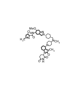 COc1cc2nn([C@H]3CC[C@H](CN(C)C4CCN(c5cccc6c5n(C)c(=O)n6C5CCC(=O)NC5=O)CC4)CC3)cc2cc1NC(=O)c1nn(C)cc1Cl